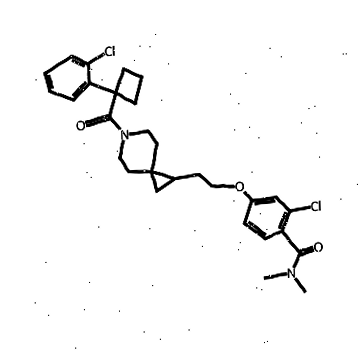 CN(C)C(=O)c1ccc(OCCC2CC23CCN(C(=O)C2(c4ccccc4Cl)CCC2)CC3)cc1Cl